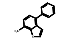 Nc1ccc(-c2ccccc2)c2ccsc12